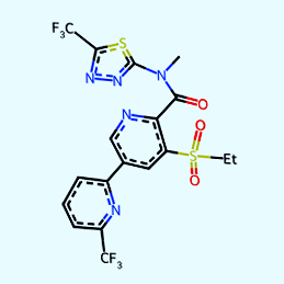 CCS(=O)(=O)c1cc(-c2cccc(C(F)(F)F)n2)cnc1C(=O)N(C)c1nnc(C(F)(F)F)s1